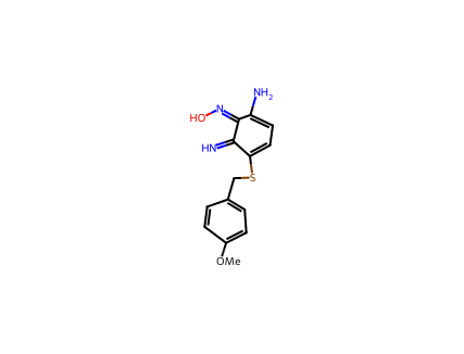 COc1ccc(CSC2=CC=C(N)/C(=N/O)C2=N)cc1